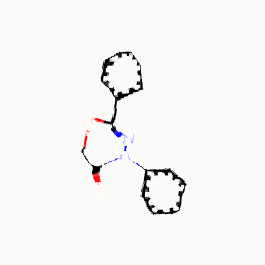 O=C1COC(c2ccccc2)=NN1c1ccccc1